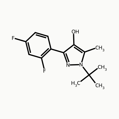 Cc1c(O)c(-c2ccc(F)cc2F)nn1C(C)(C)C